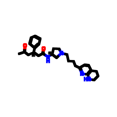 CC(=O)C[C@H](CC(=O)N[C@@H]1CCN(CCCCc2ccc3c(n2)NCCC3)C1)c1ccccc1